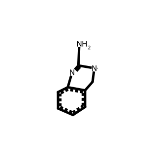 NC1=Nc2ccccc2C[N]1